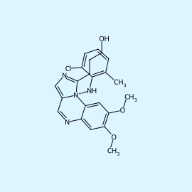 COc1cc2c(cc1OC)[N+]1(Nc3c(C)cccc3Cl)C(=CN=C1CCCO)C=N2